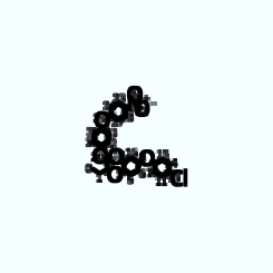 CCC(Oc1ccc(Oc2ccc(Cl)cc2)cc1)C(=O)Oc1ccc(Oc2ccc([N+](=O)[O-])cc2)cc1